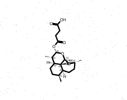 C[C@@H]1[C@H](OC(=O)CCC(=O)O)O[C@H]2O[C@]3(C)CC[C@H]4[C@@H](C)CC[C@@H]1[C@]24OO3